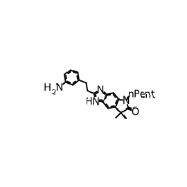 CCCCCN1C(=O)C(C)(C)c2cc3[nH]c(CCc4cccc(N)c4)nc3cc21